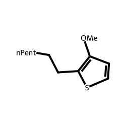 CCCCCCCc1sccc1OC